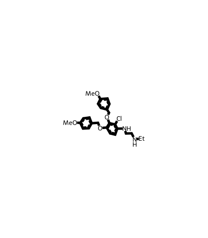 CCNCCNc1ccc(OCc2ccc(OC)cc2)c(OCc2ccc(OC)cc2)c1Cl